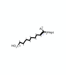 CCCCCCC/C(=C/CCCCCCCC(=O)O)C(C)=O